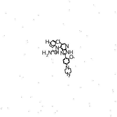 COc1cc(N2CCN(C)CC2)ccc1-c1nc2c(N[C@]34C=C[C@@H](C[C@H]3C(N)=O)C4)c(Cl)cnc2[nH]1